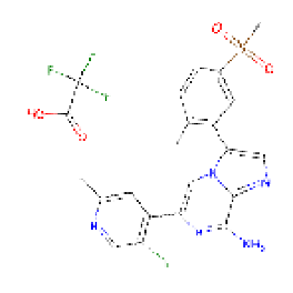 Cc1cc(-c2cn3c(-c4cc(S(C)(=O)=O)ccc4C)cnc3c(N)n2)c(F)cn1.O=C(O)C(F)(F)F